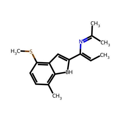 C/C=C(\N=C(C)C)C1=Cc2c(SC)ccc(C)c2B1